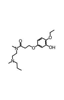 CCCN(C)CCN(C)C(=O)CCOc1ccc(OCC)c(O)c1